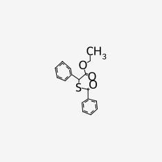 CCOC(=O)C(SC(=O)c1ccccc1)c1ccccc1